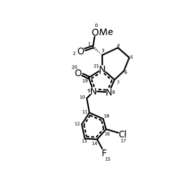 COC(=O)[C@@H]1CCCc2nn(Cc3ccc(F)c(Cl)c3)c(=O)n21